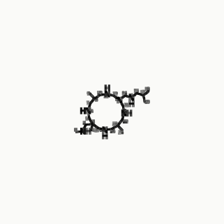 CNCC1(C)CNCC(C)CNCN(CNCC(C)C)CNCC(C)CNC1